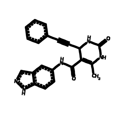 CC1=C(C(=O)Nc2ccc3[nH]ncc3c2)C(C#Cc2ccccc2)NC(=O)N1